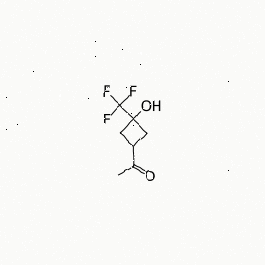 CC(=O)C1CC(O)(C(F)(F)F)C1